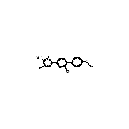 CC(C)Oc1ccc(-c2ccc(-c3cc(F)c(C=O)s3)cc2C#N)cc1